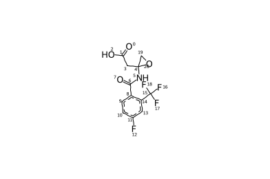 O=C(O)CC1(NC(=O)c2ccc(F)cc2C(F)(F)F)CO1